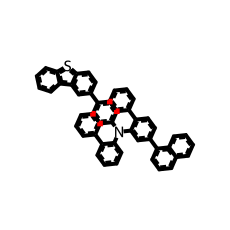 c1ccc(-c2ccccc2N(c2ccc(-c3ccc4sc5ccccc5c4c3)cc2)c2cc(-c3cccc4ccccc34)ccc2-c2ccccc2)cc1